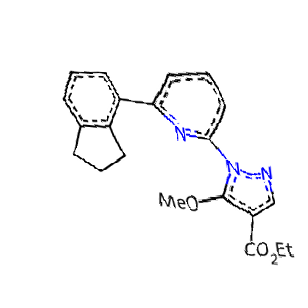 CCOC(=O)c1cnn(-c2cccc(-c3cccc4c3CCC4)n2)c1OC